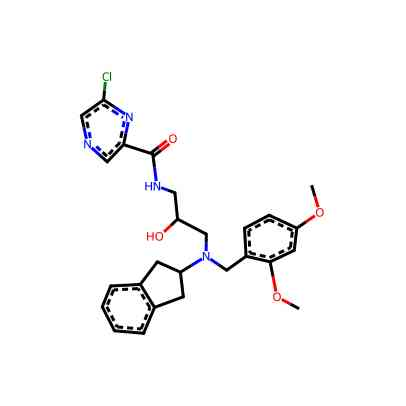 COc1ccc(CN(CC(O)CNC(=O)c2cncc(Cl)n2)C2Cc3ccccc3C2)c(OC)c1